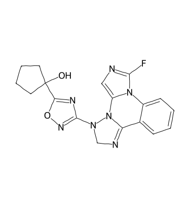 OC1(c2nc(N3CN=C4c5ccccc5-n5c(cnc5F)N43)no2)CCCC1